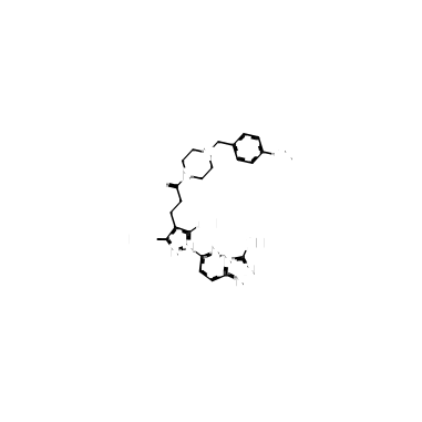 Cc1nn(-c2ccc3nnc(C)n3n2)c(C)c1CCC(=O)N1CCN(Cc2ccc(C#N)cc2)CC1